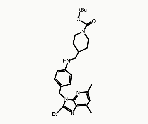 CCc1nc2c(C)cc(C)nc2n1Cc1ccc(NCC2CCN(C(=O)OC(C)(C)C)CC2)cc1